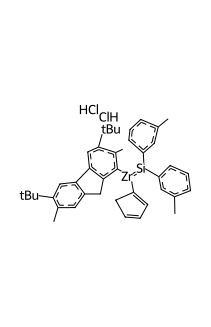 Cc1cccc([Si](c2cccc(C)c2)=[Zr]([C]2=CC=CC2)[c]2c(C)c(C(C)(C)C)cc3c2Cc2cc(C)c(C(C)(C)C)cc2-3)c1.Cl.Cl